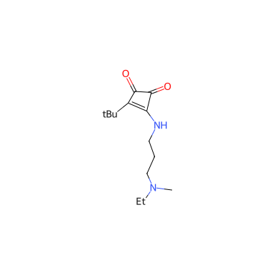 CCN(C)CCCNc1c(C(C)(C)C)c(=O)c1=O